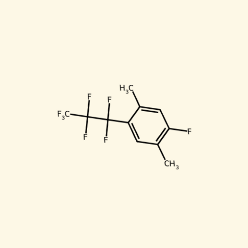 Cc1cc(C(F)(F)C(F)(F)C(F)(F)F)c(C)cc1F